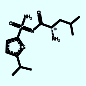 CC(C)C[C@H](N)C(=O)N=S(N)(=O)c1ccc(C(C)C)s1